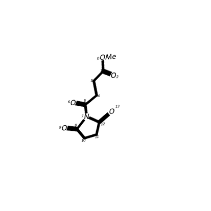 COC(=O)CCC(=O)N1C(=O)CCC1=O